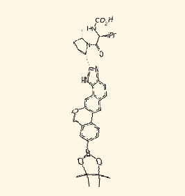 CC(C)[C@H](NC(=O)O)C(=O)N1[C@@H](C)CC[C@H]1c1nc2ccc3cc4c(cc3c2[nH]1)OCc1cc(B2OC(C)(C)C(C)(C)O2)ccc1-4